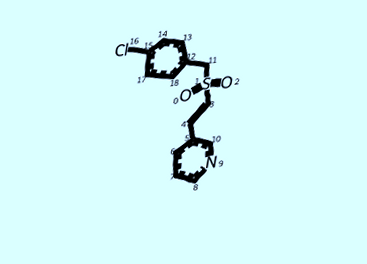 O=S(=O)(C=Cc1cccnc1)Cc1ccc(Cl)cc1